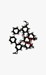 COc1cc(-c2ccccc2)c(Oc2cc(C#N)c(C#N)cc2Oc2c(-c3ccccc3)cc(OC)cc2-c2ccccc2)c(-c2ccccc2)c1